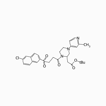 Cc1cc(N2CCN(C(=O)CCS(=O)(=O)c3ccc4cc(Cl)ccc4c3)C(CC(=O)OC(C)(C)C)C2)ccn1